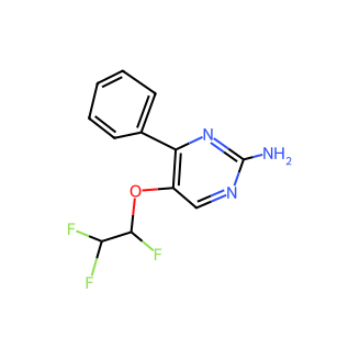 Nc1ncc(OC(F)C(F)F)c(-c2ccccc2)n1